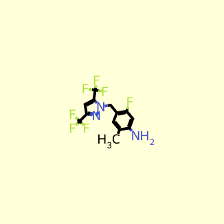 Cc1cc(Cn2nc(C(F)(F)F)cc2C(F)(F)F)c(F)cc1N